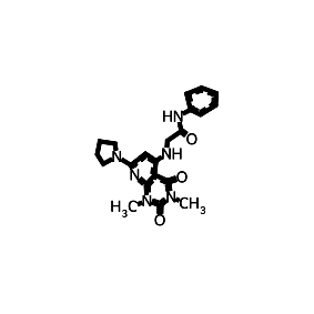 Cn1c(=O)c2c(NCC(=O)Nc3ccccc3)cc(N3CCCC3)nc2n(C)c1=O